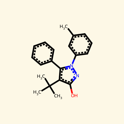 Cc1cccc(-n2nc(O)c(C(C)(C)C)c2-c2ccccc2)c1